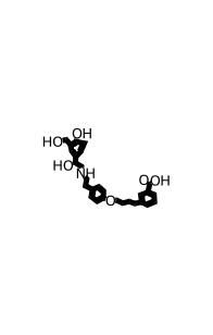 O=C(O)c1cccc(CCCCOc2ccc(CCNC[C@@H](O)c3ccc(O)c(CO)c3)cc2)c1